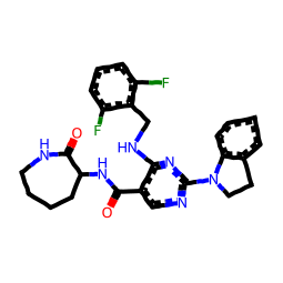 O=C(NC1CCCCNC1=O)c1cnc(N2CCc3ccccc32)nc1NCc1c(F)cccc1F